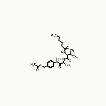 CCCCCC(=O)NC(C(=O)N[C@@H](C)C(=O)Nc1ccc(COC(C)=O)cc1)C(C)C